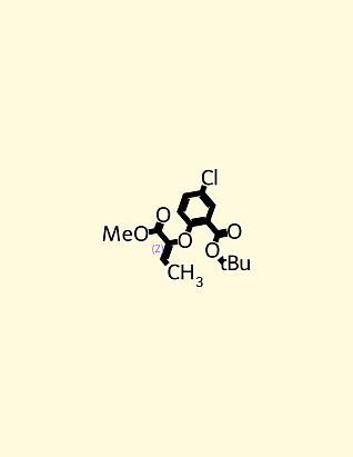 C/C=C(\Oc1ccc(Cl)cc1C(=O)OC(C)(C)C)C(=O)OC